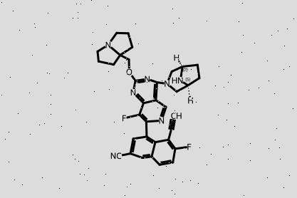 C#Cc1c(F)ccc2cc(C#N)cc(-c3ncc4c(N5C[C@H]6CC[C@@H](C5)N6)nc(OCC56CCCN5CCC6)nc4c3F)c12